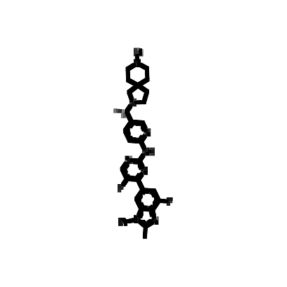 CCN1CCC2(CC1)CCN([C@@H](C)c1ccc(Nc3ncc(F)c(-c4cc(F)c5nc(C)n(C(C)C)c5c4)n3)nc1)C2